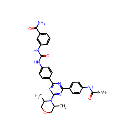 CNC(=O)Nc1ccc(-c2nc(-c3ccc(NC(=O)Nc4cccc(C(N)=O)c4)cc3)nc(N3C(C)COCC3C)n2)cc1